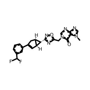 Cn1cnc2ncn(Cc3nc([C@@H]4[C@H]5C=C(c6cccc(C(F)F)c6)C[C@H]54)no3)c(=O)c21